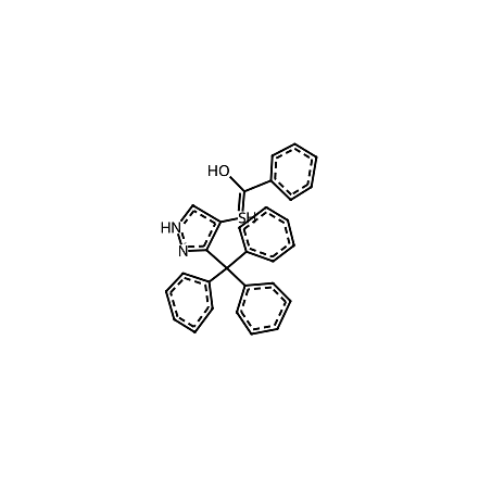 OC(=[SH]c1c[nH]nc1C(c1ccccc1)(c1ccccc1)c1ccccc1)c1ccccc1